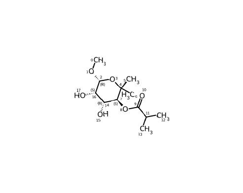 CO[C@@H]1OC(C)(C)[C@@H](OC(=O)C(C)C)[C@H](O)[C@@H]1O